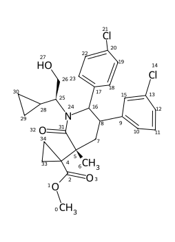 COC(=O)C1([C@@]2(C)CC(c3cccc(Cl)c3)C(c3ccc(Cl)cc3)N([C@H](CO)C3CC3)C2=O)CC1